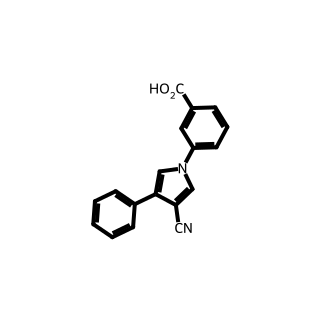 N#Cc1cn(-c2cccc(C(=O)O)c2)cc1-c1ccccc1